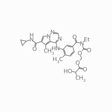 CCN(C(=O)OCOC(=O)C(C)O)C(=O)c1ccc(C)c(Nc2ncnn3cc(C(=O)NC4CC4)c(C)c23)c1